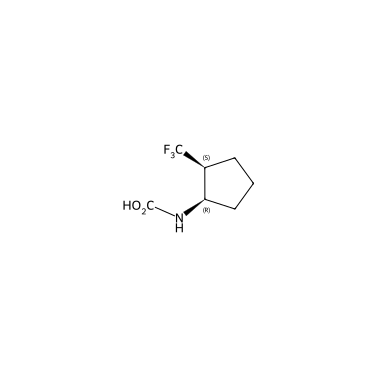 O=C(O)N[C@@H]1CCC[C@@H]1C(F)(F)F